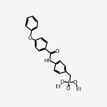 CCOP(=O)(Cc1ccc(NC(=O)c2ccc(Oc3ccccc3)cc2)cc1)OCC